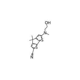 CN(CCO)c1cc2c(s1)-c1sc(C#N)cc1C2(C)C